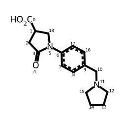 O=C(O)C1CC(=O)N(c2ccc(CN3CCCC3)cc2)C1